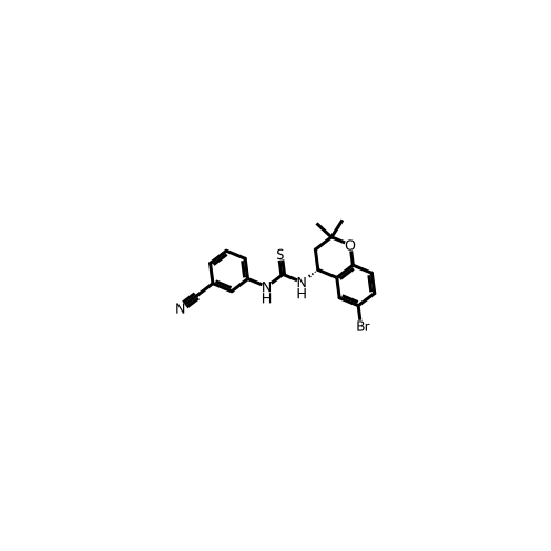 CC1(C)C[C@@H](NC(=S)Nc2cccc(C#N)c2)c2cc(Br)ccc2O1